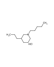 CCCCCN1CCCC(CCC)C1.Cl